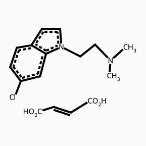 CN(C)CCn1ccc2ccc(Cl)cc21.O=C(O)C=CC(=O)O